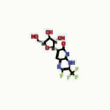 O=c1nc2[nH]c(C(F)(F)F)c(F)nc-2cc1[C@@H]1O[C@H](CO)C(O)[C@@H]1O